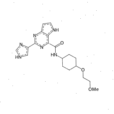 COCCOC1CCC(NC(=O)c2nc(-c3c[nH]cn3)nc3cc[nH]c23)CC1